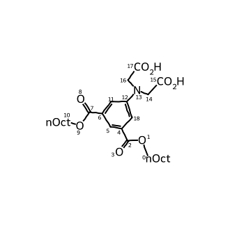 CCCCCCCCOC(=O)c1cc(C(=O)OCCCCCCCC)cc(N(CC(=O)O)CC(=O)O)c1